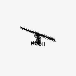 CCCCCCCCCCCCCCCCN(CCCCCCCCCCCCCCCC)C(=O)CCC(=O)OCC(CO)(CO)CO